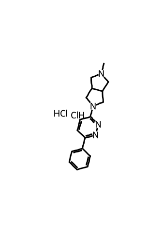 CN1CC2CN(c3ccc(-c4ccccc4)nn3)CC2C1.Cl.Cl